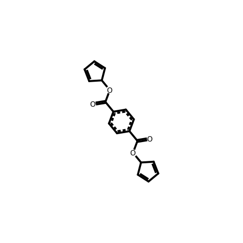 O=C(OC1C=CC=C1)c1ccc(C(=O)OC2C=CC=C2)cc1